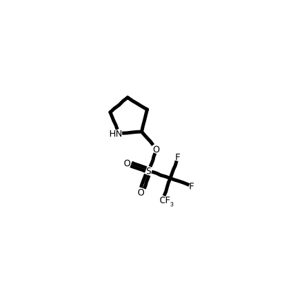 O=S(=O)(OC1CCCN1)C(F)(F)C(F)(F)F